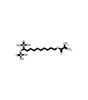 C=C(C)C(=O)OCCCCCCCCCC(OP(=O)(O)O)P(=O)(O)O